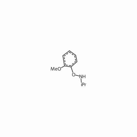 COc1ccccc1ONC(C)C